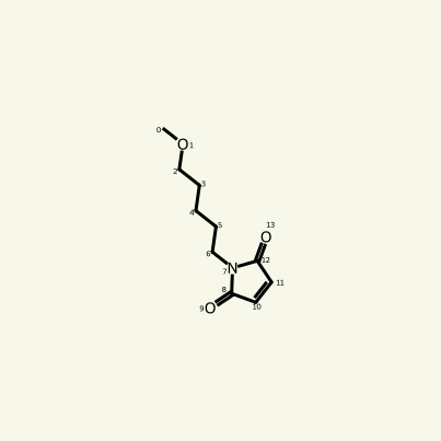 COCCCCCN1C(=O)C=CC1=O